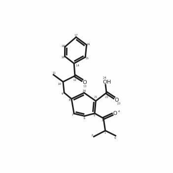 CC(C)C(=O)c1ccc(CC(C)C(=O)c2ccccc2)cc1C(=O)O